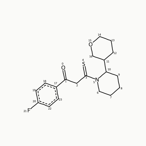 O=C(CC(=S)N1CCCCC1C1CCCOC1)c1ccc(F)cc1